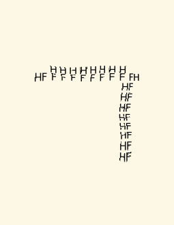 F.F.F.F.F.F.F.F.F.F.F.F.F.F.F.F.F.F